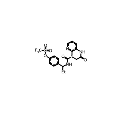 CCC(NC(=O)N1CC(=O)Nc2cccnc21)c1ccc(OS(=O)(=O)C(F)(F)F)cc1